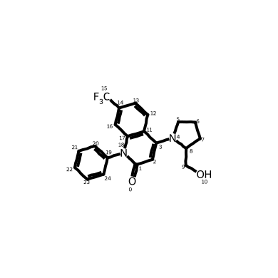 O=c1cc(N2CCCC2CO)c2ccc(C(F)(F)F)cc2n1-c1ccccc1